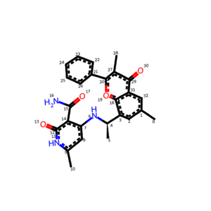 Cc1cc([C@@H](C)Nc2cc(C)[nH]c(=O)c2C(N)=O)c2oc(-c3ccccc3)c(C)c(=O)c2c1